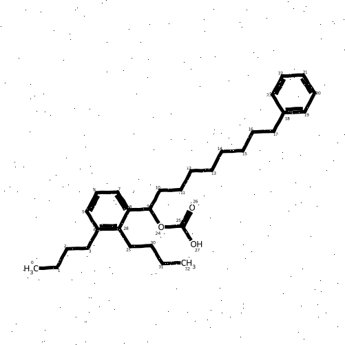 CCCCc1cccc(C(CCCCCCCCc2ccccc2)OC(=O)O)c1CCCC